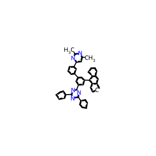 Cc1cc(-c2cccc(-c3cc(-c4nc(-c5ccccc5)nc(-c5ccccc5)n4)cc(-c4c5ccccc5cc5ccccc45)c3)c2)nc(C)n1